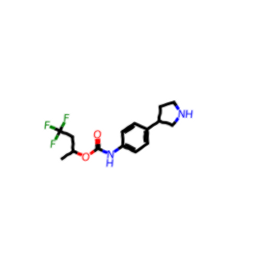 CC(CC(F)(F)F)OC(=O)Nc1ccc(C2CCNC2)cc1